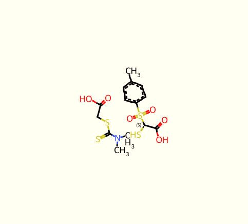 CN(C)C(=S)SCC(=O)O.Cc1ccc(S(=O)(=O)[C@H](S)C(=O)O)cc1